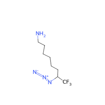 [N-]=[N+]=NC(CCCCCCN)C(F)(F)F